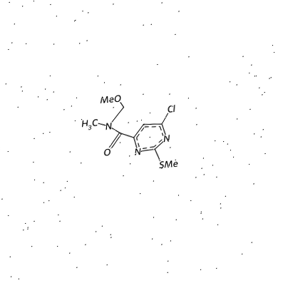 COCN(C)C(=O)c1cc(Cl)nc(SC)n1